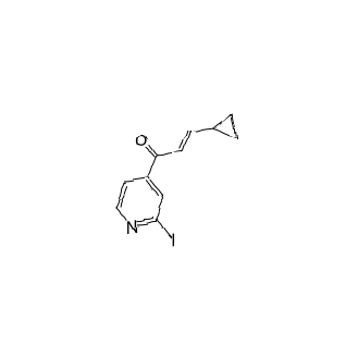 O=C(C=CC1CC1)c1ccnc(I)c1